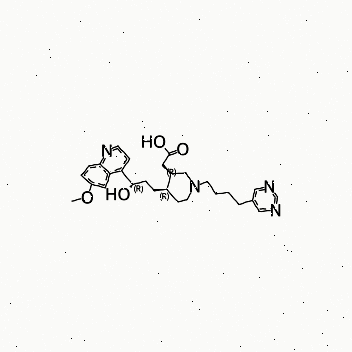 COc1ccc2nccc([C@H](O)CC[C@@H]3CCN(CCCCc4cncnc4)C[C@@H]3CC(=O)O)c2c1